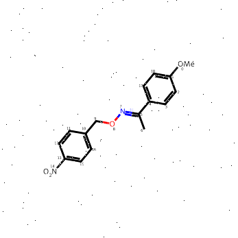 COc1ccc(/C(C)=N/OCc2ccc([N+](=O)[O-])cc2)cc1